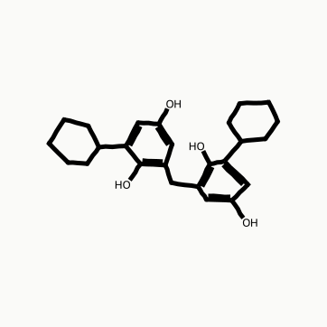 Oc1cc(Cc2cc(O)cc(C3CCCCC3)c2O)c(O)c(C2CCCCC2)c1